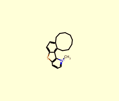 C[n+]1cccc2sc3ccc4c(c3c21)CCCCCCCC4